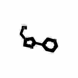 N#CCn1cnc(-c2cccnc2)c1